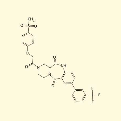 CS(=O)(=O)c1ccc(OCC(=O)N2CCN3C(=O)c4cc(-c5cccc(C(F)(F)F)c5)ccc4NC(=O)C3C2)cc1